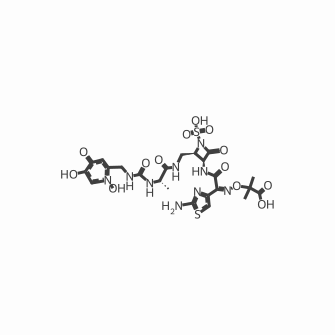 C[C@H](NC(=O)NCc1cc(=O)c(O)cn1O)C(=O)NC[C@@H]1[C@H](NC(=O)/C(=N\OC(C)(C)C(=O)O)c2csc(N)n2)C(=O)N1S(=O)(=O)O